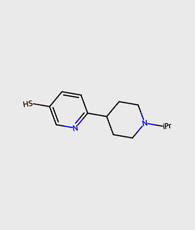 CC(C)N1CCC(c2ccc(S)cn2)CC1